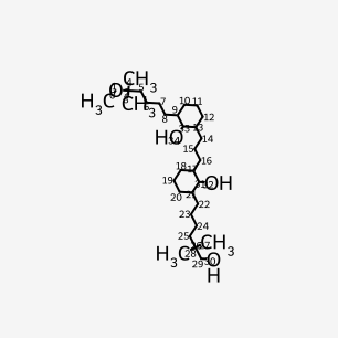 COC(C)(C)CCCCC1CCCC(CCCC2CCCC(CCCCC(C)(C)CO)C2O)C1O